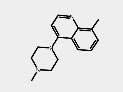 Cc1cccc2c(N3CCN(C)CC3)ccnc12